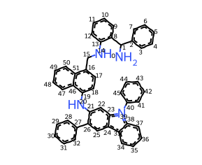 NC(c1ccccc1)c1ccccc1NCc1ccc(Nc2cc3c(cc2-c2ccccc2)c2ccccc2n3-c2ccccc2)c2ccccc12